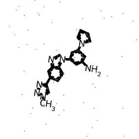 Cn1cc(-c2ccc3c(c2)ncn3-c2cc(N)cc(-n3cccc3)c2)nn1